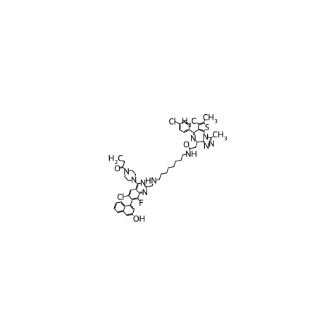 C=CC(=O)N1CCN(c2nc(CNCCCCCCCCNC(=O)CC3N=C(c4ccc(Cl)cc4)c4c(sc(C)c4C)-n4c(C)nnc43)nc3c(F)c(-c4cc(O)cc5ccccc45)c(Cl)cc23)CC1